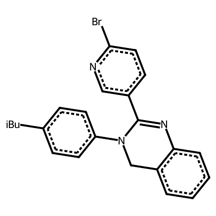 CCC(C)c1ccc(N2Cc3ccccc3N=C2c2ccc(Br)nc2)cc1